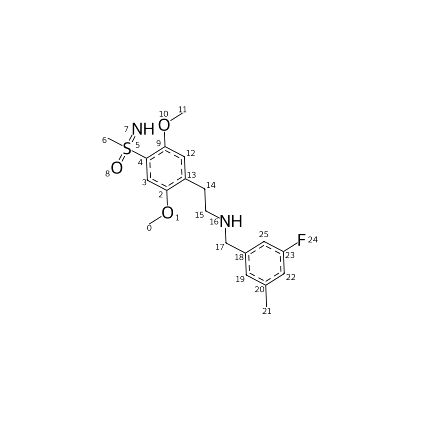 COc1cc(S(C)(=N)=O)c(OC)cc1CCNCc1cc(C)cc(F)c1